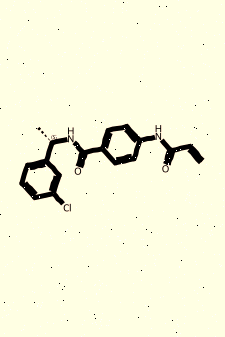 C=CC(=O)Nc1ccc(C(=O)N[C@@H](C)c2cccc(Cl)c2)cc1